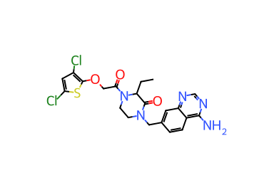 CCC1C(=O)N(Cc2ccc3c(N)ncnc3c2)CCN1C(=O)COc1sc(Cl)cc1Cl